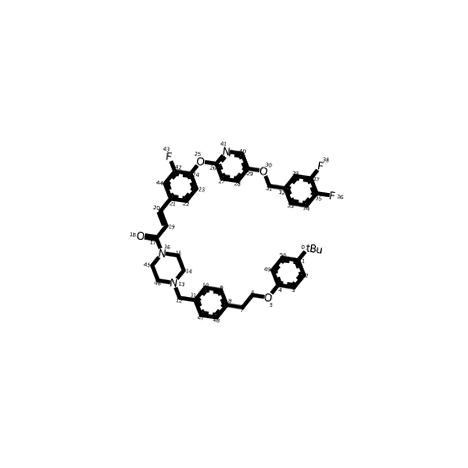 CC(C)(C)c1ccc(OCCc2ccc(CN3CCN(C(=O)C=Cc4ccc(Oc5ccc(OCc6ccc(F)c(F)c6)cn5)c(F)c4)CC3)cc2)cc1